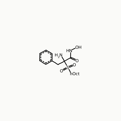 CCCCCCCCS(=O)(=O)C(N)(Cc1ccccc1)C(=O)NO